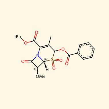 CO[C@H]1C(=O)N2C(C(=O)OC(C)(C)C)=C(C)C(OC(=O)c3ccccc3)S(=O)(=O)[C@H]12